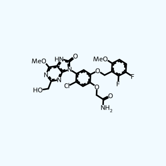 COc1ccc(F)c(F)c1COc1cc(-n2c(=O)[nH]c3c(OC)nc(CO)nc32)c(Cl)cc1OCC(N)=O